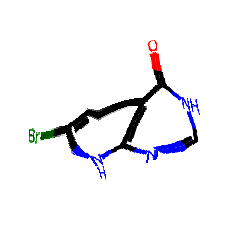 O=c1[nH]cnc2[nH]c(Br)cc12